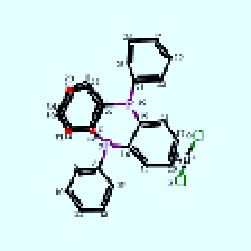 [Cl][Au+][Cl].c1ccc(P(c2ccccc2)c2ccccc2P(c2ccccc2)c2ccccc2)cc1